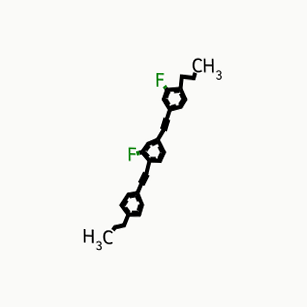 CCCc1ccc(C#Cc2ccc(C#Cc3ccc(CCC)c(F)c3)cc2F)cc1